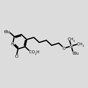 CC(C)(C)c1cc(CCCCCO[Si](C)(C)C(C)(C)C)c(C(=O)O)c(Cl)n1